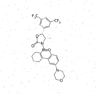 COc1ccc(N2CCOCC2)cc1C1=C(CN2C(=O)O[C@H](c3cc(C(F)(F)F)cc(C(F)(F)F)c3)[C@@H]2C)CCCC1